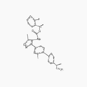 Cc1cc(-c2noc(C)c2NC(=O)O[C@H](C)c2ccccc2F)ccc1-c1ccc(C(C)C(=O)O)cc1